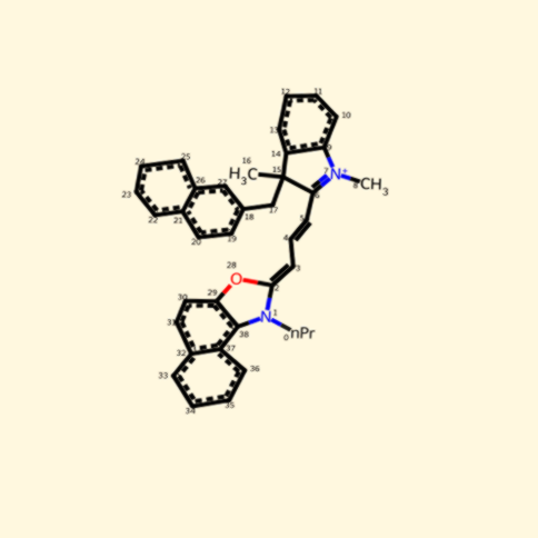 CCCN1/C(=C/C=C/C2=[N+](C)c3ccccc3C2(C)Cc2ccc3ccccc3c2)Oc2ccc3ccccc3c21